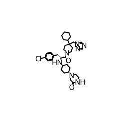 O=C1CN([C@H]2CC[C@H](N[C@H](Cc3ccc(Cl)cc3)C(=O)N3CCC(Cn4cncn4)(C4CCCCC4)CC3)CC2)CCN1